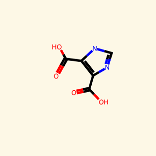 O=C(O)C1=C(C(=O)O)N=C[N]1